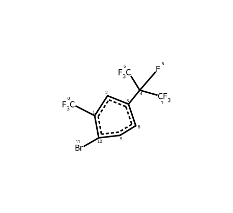 FC(F)(F)c1cc(C(F)(C(F)(F)F)C(F)(F)F)ccc1Br